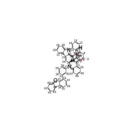 C[C@@H]1C[C@H]2CCC[C@@H](C1)C21c2ccccc2-n2c3ccccc3c3cc(N(c4cccc(-c5cccc6c5oc5ccccc56)c4)c4ccccc4-c4ccccc4)cc1c32